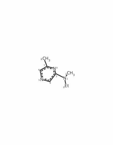 CCN(C)c1cncc(C)n1